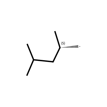 [CH2][C@@H](C)CC(C)C